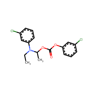 CCN(c1cccc(Cl)c1)C(C)OC(=O)Oc1cccc(Cl)c1